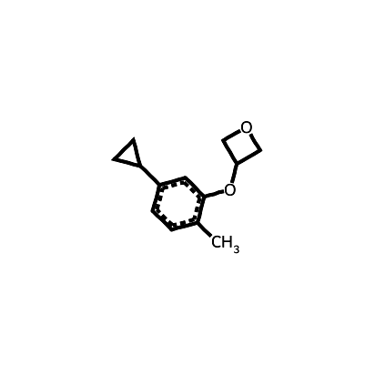 Cc1ccc(C2CC2)cc1OC1COC1